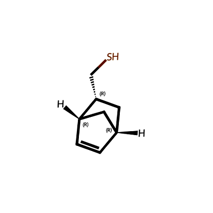 SC[C@@H]1C[C@@H]2C=C[C@H]1C2